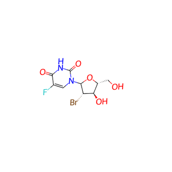 O=c1[nH]c(=O)n(C2O[C@H](CO)[C@@H](O)[C@@H]2Br)cc1F